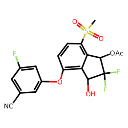 CC(=O)OC1c2c(S(C)(=O)=O)ccc(Oc3cc(F)cc(C#N)c3)c2C(O)C1(F)F